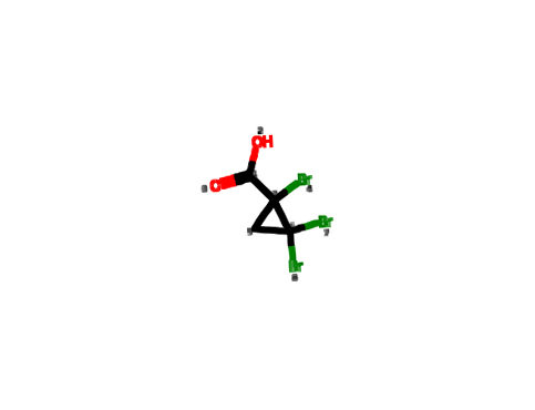 O=C(O)C1(Br)CC1(Br)Br